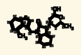 CCC[C@H](CC(=O)O)n1c(=O)n(Cc2csc3cccc(C)c23)c2ccccc21